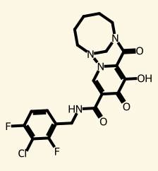 O=C(NCc1ccc(F)c(Cl)c1F)c1cn2c(c(O)c1=O)C(=O)N1CCCCCN2C1